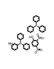 N.O=[N+]([O-])c1ccc(O)c([N+](=O)[O-])c1.c1ccc(P(c2ccccc2)c2ccccc2)cc1.c1ccc(P(c2ccccc2)c2ccccc2)cc1